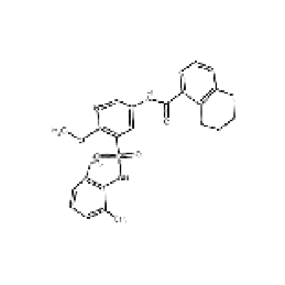 COc1ncc(NC(=O)c2cccc3c2CCCC3)cc1S(=O)(=O)Nc1c(C)cccc1C